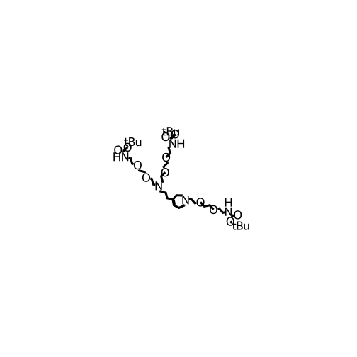 CC(C)(C)OC(=O)NCCOCCOCCN(CCCC1=CCCN(CCOCCOCCNC(=O)OC(C)(C)C)CC1)CCOCCOCCNC(=O)OC(C)(C)C